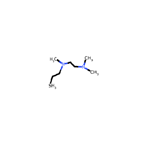 CN(C)CCN(C)CC[SiH3]